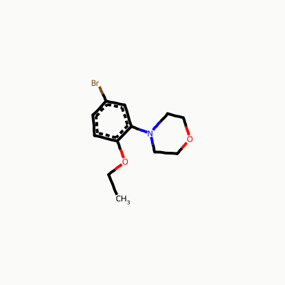 CCOc1ccc(Br)cc1N1CCOCC1